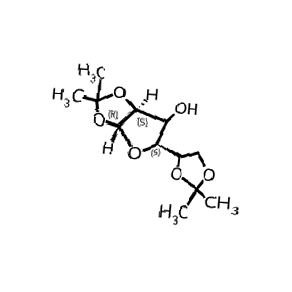 CC1(C)OCC([C@H]2O[C@@H]3OC(C)(C)O[C@H]3C2O)O1